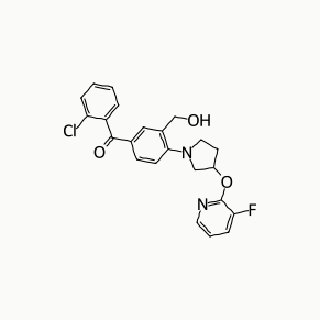 O=C(c1ccc(N2CCC(Oc3ncccc3F)C2)c(CO)c1)c1ccccc1Cl